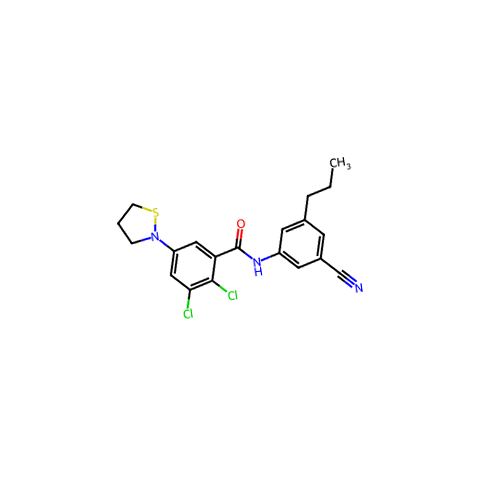 CCCc1cc(C#N)cc(NC(=O)c2cc(N3CCCS3)cc(Cl)c2Cl)c1